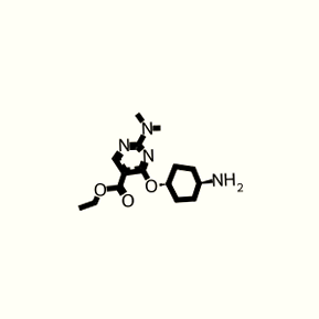 CCOC(=O)c1cnc(N(C)C)nc1O[C@H]1CC[C@H](N)CC1